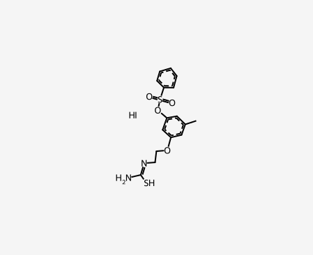 Cc1cc(OCCN=C(N)S)cc(OS(=O)(=O)c2ccccc2)c1.I